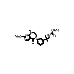 COC(=O)NCC(C)(C)c1cccc(N2CCN(C)c3nc(SC)ncc3C2=O)c1